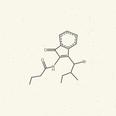 CCCC(=O)NC1=C(C(Br)C(C)CC)c2ccccc2C1=O